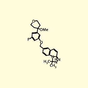 COC1(c2cc(F)cc(OCc3ccc4c(c3)C=CC3=NNC(C)(C)N34)c2)CCOCC1